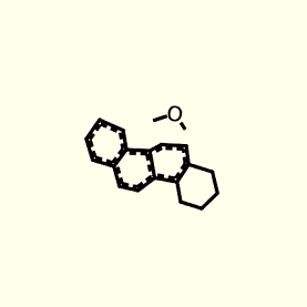 COC.c1ccc2c(c1)ccc1c3c(ccc12)CCCC3